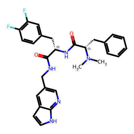 CN(C)[C@@H](Cc1ccccc1)C(=O)N[C@@H](Cc1ccc(F)c(F)c1)C(=O)NCc1cnc2[nH]ccc2c1